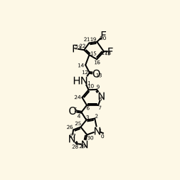 Cn1cc(C(=O)c2cncc(NC(=O)Cc3cc(F)c(F)cc3F)c2)c2cncnc21